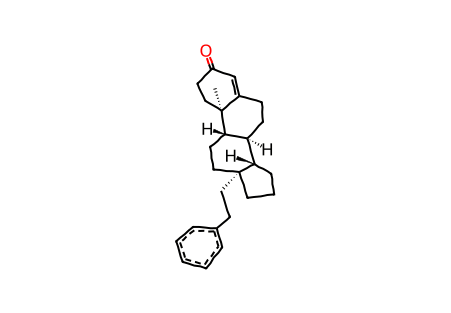 C[C@]12CCC(=O)C=C1CC[C@H]1[C@@H]3CCC[C@@]3(CCc3ccccc3)CC[C@@H]12